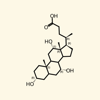 C[C@H](CCC(=O)O)[C@H]1CCC2C3C(C[C@H](O)[C@@]21C)[C@@]1(C)CC[C@@H](O)CC1C[C@H]3O